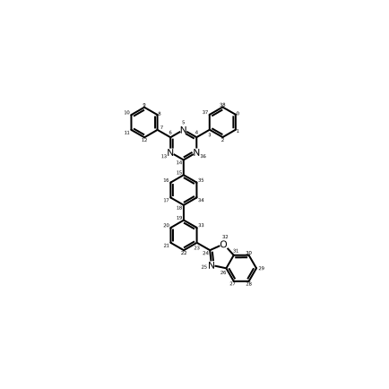 c1ccc(-c2nc(-c3ccccc3)nc(-c3ccc(-c4cccc(-c5nc6ccccc6o5)c4)cc3)n2)cc1